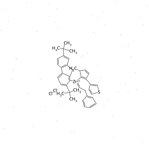 CC1C=CC(c2ccsc2)=[C]1[Zr+2](=[CH]Cc1ccccc1)[c]1c(C(C)(C)C)ccc2c1Cc1cc(C(C)(C)C)ccc1-2.[Cl-].[Cl-]